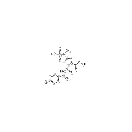 COC(=O)[C@@H]1C[C@@H](N(C)S(C)(=O)=O)C[C@H]1C(=O)N[C@@H](C)c1ccc(Cl)cc1